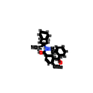 COc1ccc(C(=O)NC2(C(=O)O)Cc3ccccc3C2)cc1C(=O)c1ccccc1C